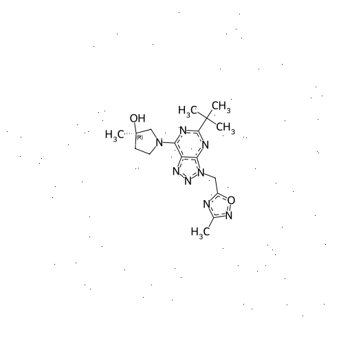 Cc1noc(Cn2nnc3c(N4CC[C@@](C)(O)C4)nc(C(C)(C)C)nc32)n1